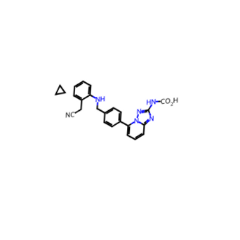 C1CC1.N#CCc1ccccc1NCc1ccc(-c2cccc3nc(NC(=O)O)nn23)cc1